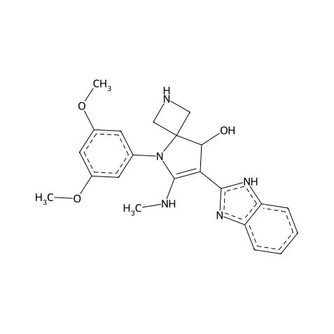 CNC1=C(c2nc3ccccc3[nH]2)C(O)C2(CNC2)N1c1cc(OC)cc(OC)c1